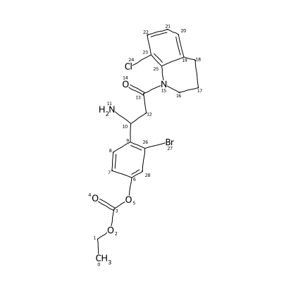 CCOC(=O)Oc1ccc(C(N)CC(=O)N2CCCc3cccc(Cl)c32)c(Br)c1